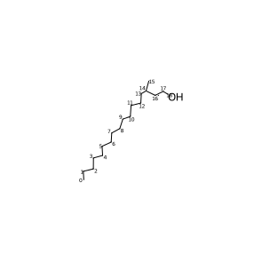 CCCCCCCCCCCCCCC(C)[CH]CO